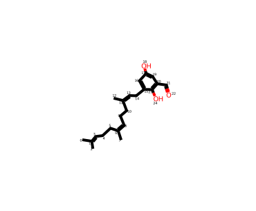 CC(C)=CCCC(C)=CCCC(C)=CCc1cc(O)cc(C=O)c1O